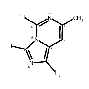 Cc1cc2c(I)nc(I)n2c(I)n1